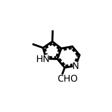 Cc1[nH]c2c(C=O)nccc2c1C